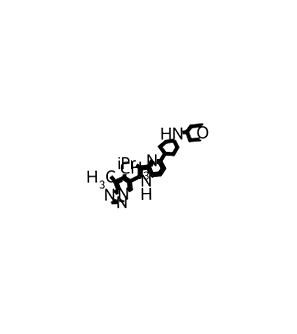 Cc1c(-c2[nH]c3ccc(C4CCC(NC5CCOCC5)CC4)nc3c2C(C)C)cn2ncnc2c1C